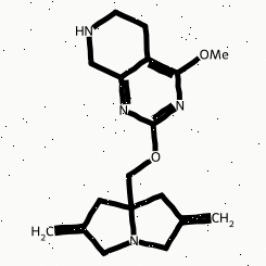 C=C1CN2CC(=C)CC2(COc2nc3c(c(OC)n2)CCNC3)C1